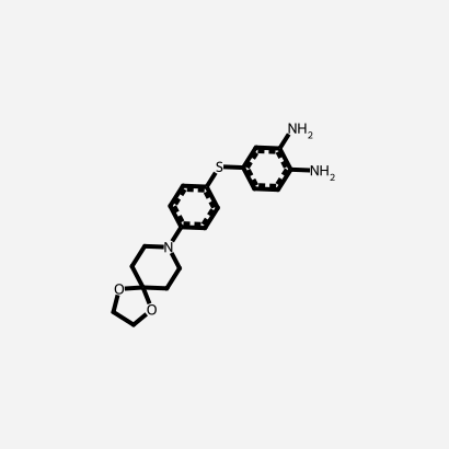 Nc1ccc(Sc2ccc(N3CCC4(CC3)OCCO4)cc2)cc1N